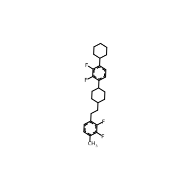 Cc1ccc(CCC2CCC(c3ccc(C4CCCCC4)c(F)c3F)CC2)c(F)c1F